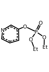 CCOP(=O)(OCC)Oc1cccnc1